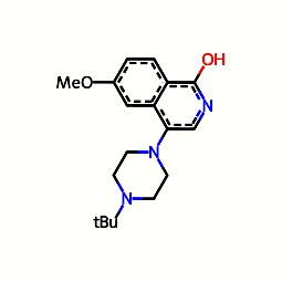 COc1ccc2c(O)ncc(N3CCN(C(C)(C)C)CC3)c2c1